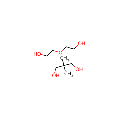 CC(C)(CO)CO.OCCOCCO